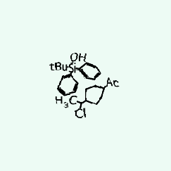 CC(=O)C1CCC(C(C)Cl)CC1.CC(C)(C)[Si](O)(c1ccccc1)c1ccccc1